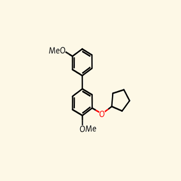 COc1cccc(-c2ccc(OC)c(OC3CCCC3)c2)c1